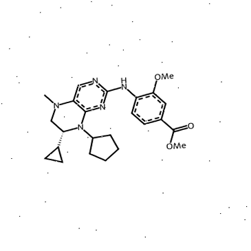 COC(=O)c1ccc(Nc2ncc3c(n2)N(C2CCCC2)[C@H](C2CC2)CN3C)c(OC)c1